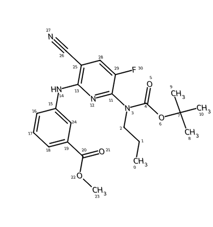 CCCN(C(=O)OC(C)(C)C)c1nc(Nc2cccc(C(=O)OC)c2)c(C#N)cc1F